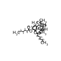 CCCCCC(=O)Oc1ccc(C[C@](NC(C)C)(OC(C)=O)C(=O)O)cc1OC(=O)CCCCC